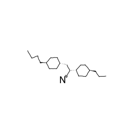 CCCC[C@H]1CC[C@H](CC(C#N)[C@H]2CC[C@H](CCC)CC2)CC1